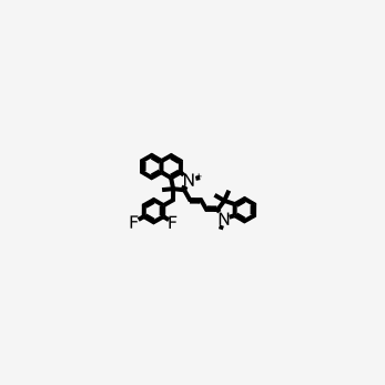 CN1/C(=C/C=C/C2=[N+](C)c3ccc4ccccc4c3C2(C)Cc2ccc(F)cc2F)C(C)(C)c2ccccc21